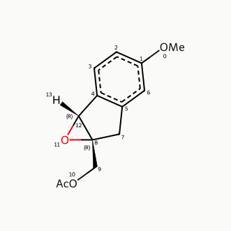 COc1ccc2c(c1)C[C@]1(COC(C)=O)O[C@H]21